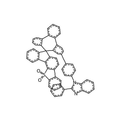 O=S1(=O)c2ccccc2-c2ccc3c(c21)-c1ccccc1C31c2ccccc2-c2ccccc2-c2ccc(-c3ccc(-n4c(-c5ccccc5)nc5ccccc54)cc3)cc21